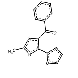 Cc1nc(-c2ccco2)c(C(=O)c2ccccc2)s1